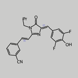 CC(C)CN1C(=O)/C(=C/c2cc(F)c(O)c(F)c2)N=C1/C=C/c1cccc(C#N)c1